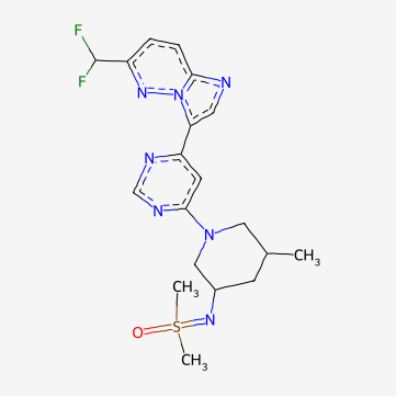 CC1CC(N=S(C)(C)=O)CN(c2cc(-c3cnc4ccc(C(F)F)nn34)ncn2)C1